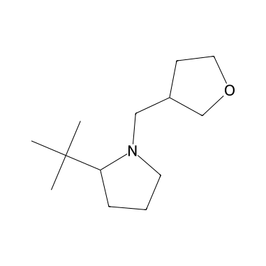 CC(C)(C)C1CCCN1CC1CCOC1